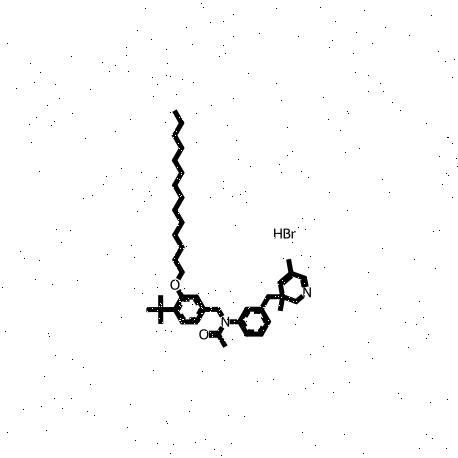 Br.CCCCCCCCCCCCCCOc1cc(CN(C(C)=O)c2cccc(CC3(C)C=C(C)C=NC3)c2)ccc1C(C)(C)C